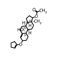 CC(=O)OC1CC[C@H]2[C@@H]3CCC4=CC(OC5=CCCC5)CC[C@]4(CO)[C@@H]3CC[C@]12C